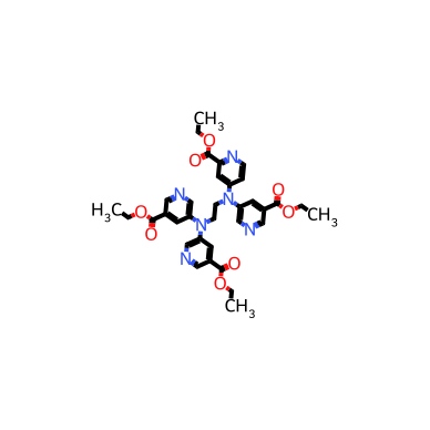 CCOC(=O)c1cncc(N(CCN(c2cncc(C(=O)OCC)c2)c2ccnc(C(=O)OCC)c2)c2cncc(C(=O)OCC)c2)c1